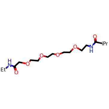 CCNC(=O)COCCOCCOCCOCCNC(=O)C(C)C